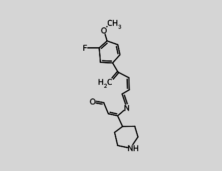 C=C(\C=C/C=N/C(=C\C=O)C1CCNCC1)c1ccc(OC)c(F)c1